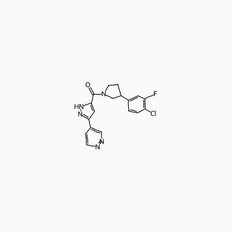 O=C(c1cc(-c2ccnnc2)n[nH]1)N1CCC(c2ccc(Cl)c(F)c2)C1